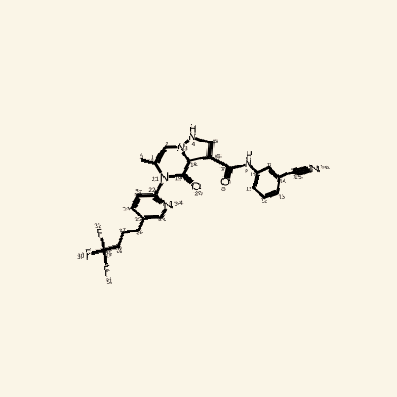 CC1=CN2NCC(C(=O)Nc3cccc(C#N)c3)C2C(=O)N1c1ccc(CCCC(F)(F)F)cn1